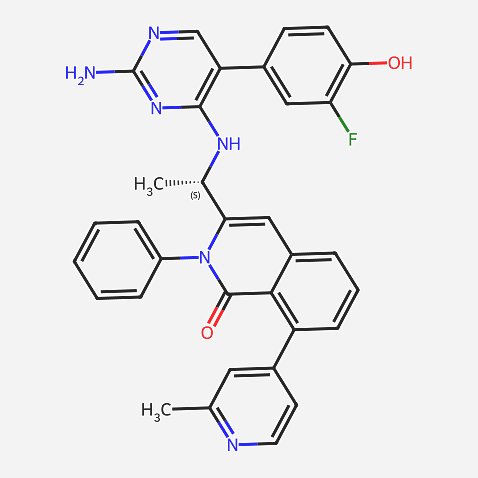 Cc1cc(-c2cccc3cc([C@H](C)Nc4nc(N)ncc4-c4ccc(O)c(F)c4)n(-c4ccccc4)c(=O)c23)ccn1